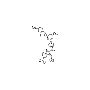 COC(=O)c1ccc2nc([C@H](C)N3CCN(c4cc(OC)cc(OCc5ccc(C#N)cc5F)n4)CC3)n(CC3CCO3)c2c1